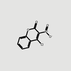 O=c1oc2ccccc2c(Cl)c1[N+](=O)[O-]